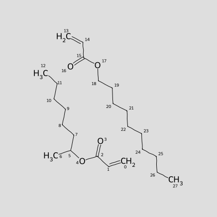 C=CC(=O)OC(C)CCCCCC.C=CC(=O)OCCCCCCCCCC